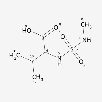 CNS(=O)(=O)NC(C(=O)O)C(C)C